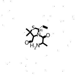 C=C[C@H]1SC(C)(C)C(C=O)N1C(=O)C(C)N